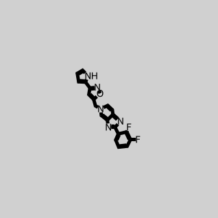 Fc1cccc(-c2nc3ccn(Cc4cc(-c5ccc[nH]5)no4)cc-3n2)c1F